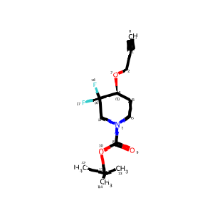 C#CCO[C@H]1CCN(C(=O)OC(C)(C)C)CC1(F)F